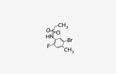 CCS(=O)(=O)Nc1cc(Br)c(C)cc1F